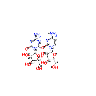 Nc1ccn([C@@H]2O[C@H](CO)[C@@H](O)[C@@H]2O)c(=O)n1.Nc1ncn([C@@H]2O[C@H](CO)[C@@H](O)[C@H]2O)c(=O)n1